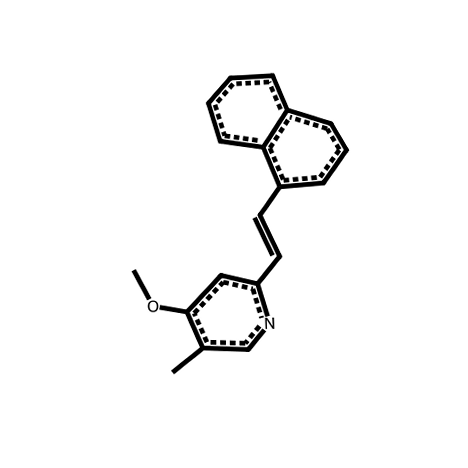 COc1cc(/C=C/c2cccc3ccccc23)ncc1C